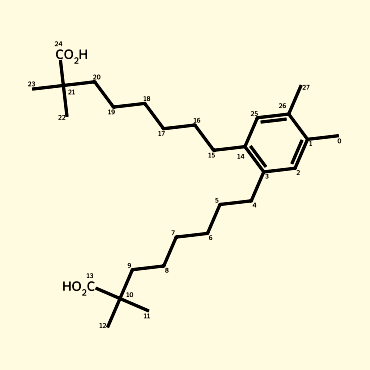 Cc1cc(CCCCCCC(C)(C)C(=O)O)c(CCCCCCC(C)(C)C(=O)O)cc1C